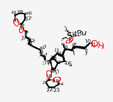 CC(C)(C)[Si](C)(C)OCC(CCCCO)C1=CC2C(C1)C[C@@H](OC1CCCCO1)[C@@H]2C=CCCCCCCOC1CCCCO1